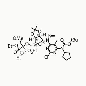 C=NN(c1nc(Cl)nc(N(C(=O)OC(C)(C)C)C2CCCC2)c1C)[C@@H]1O[C@H](COC(COC)(C(=O)OCC)P(=O)(OCC)OCC)[C@H]2OC(C)(C)O[C@H]21